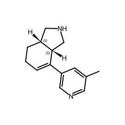 Cc1cncc(C2=CCC[C@@H]3CNC[C@H]23)c1